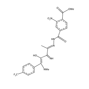 CN/C(=C(/O)C(=N)/C(C)=N/NC(=O)c1ccc(C(=O)OC)c([N+](=O)[O-])c1)c1ccc(C(F)(F)F)cc1